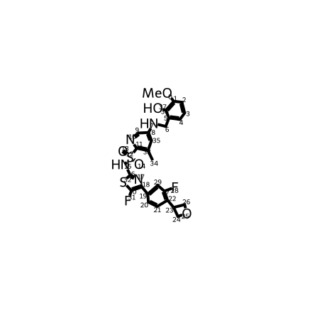 COc1cccc(CNc2cnc(S(=O)(=O)Nc3nc(-c4ccc(C5COC5)c(F)c4)c(F)s3)c(C)c2)c1O